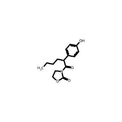 CCCCC(C(=O)N1CCOC1=O)c1ccc(O)cc1